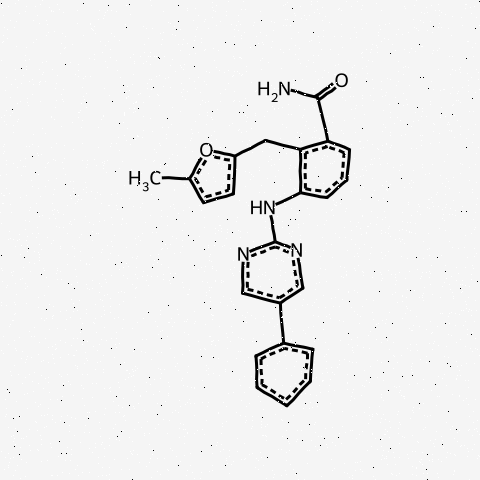 Cc1ccc(Cc2c(Nc3ncc(-c4ccccc4)cn3)cccc2C(N)=O)o1